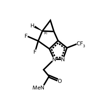 CNC(=O)Cn1nc(C(F)(F)F)c2c1C(F)(F)[C@@H]1CC21